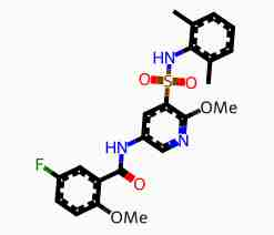 COc1ccc(F)cc1C(=O)Nc1cnc(OC)c(S(=O)(=O)Nc2c(C)cccc2C)c1